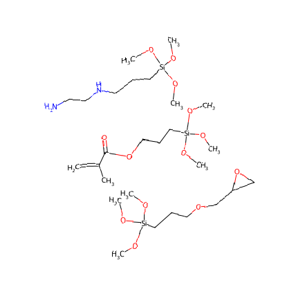 C=C(C)C(=O)OCCC[Si](OC)(OC)OC.CO[Si](CCCNCCN)(OC)OC.CO[Si](CCCOCC1CO1)(OC)OC